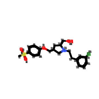 CS(=O)(=O)c1ccc(OCC2C[C@@H](CO)N(CCc3cccc(Cl)c3)C2)cc1